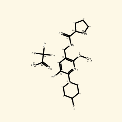 COc1nc(N2CCC(F)CC2)c(F)cc1CNC(=O)C1CCCN1.O=C(O)C(F)(F)F